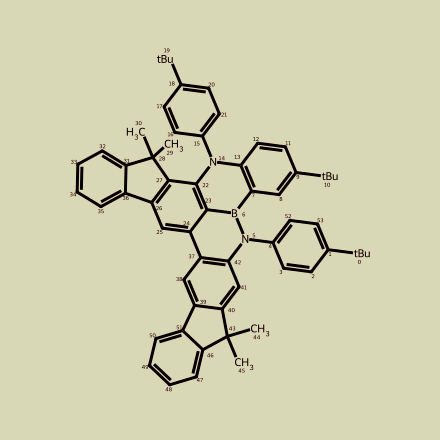 CC(C)(C)c1ccc(N2B3c4cc(C(C)(C)C)ccc4N(c4ccc(C(C)(C)C)cc4)c4c3c(cc3c4C(C)(C)c4ccccc4-3)-c3cc4c(cc32)C(C)(C)c2ccccc2-4)cc1